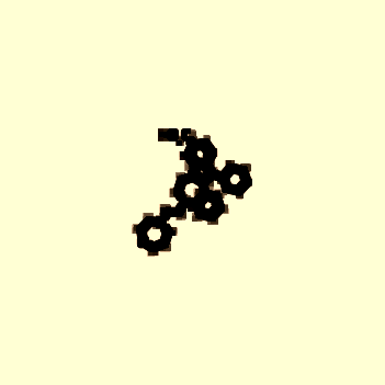 O=C(O)c1ccc2c(C3CCCCC3)c3n(c2c1)CCN(CCN1CCCOCC1)c1ccccc1-3